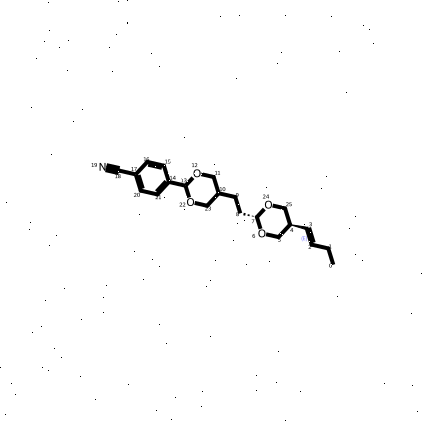 CC/C=C/[C@H]1CO[C@H](CCC2COC(c3ccc(C#N)cc3)OC2)OC1